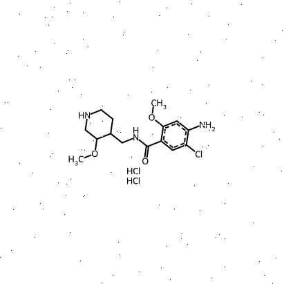 COc1cc(N)c(Cl)cc1C(=O)NCC1CCNCC1OC.Cl.Cl